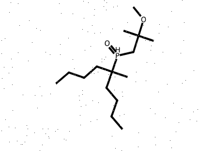 CCCCC(C)(CCCC)[PH](=O)CC(C)(C)OC